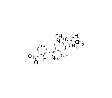 CN(Cc1cc(F)cnc1-c1cccc([N+](=O)[O-])c1F)C(=O)OC(C)(C)C